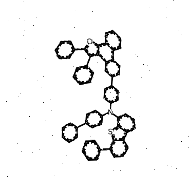 c1ccc(-c2ccc(N(c3ccc(-c4ccc5c6ccccc6c6oc(-c7ccccc7)c(-c7ccccc7)c6c5c4)cc3)c3cccc4c3sc3c(-c5ccccc5)cccc34)cc2)cc1